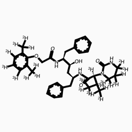 [2H]c1c([2H])c(C([2H])([2H])[2H])c(OCC(=O)N[C@@H](Cc2ccccc2)[C@@H](O)C[C@H](Cc2ccccc2)NC(=O)[C@@]([2H])(N2C(=O)NC([2H])([2H])C([2H])([2H])C2([2H])[2H])C([2H])(C([2H])([2H])[2H])C([2H])([2H])[2H])c(C([2H])([2H])[2H])c1[2H]